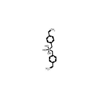 C=Cc1ccc(CP(O)(O)(O)Cc2ccc(C=C)cc2)cc1